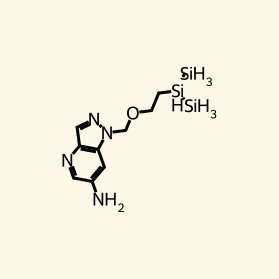 Nc1cnc2cnn(COCC[SiH]([SiH3])[SiH3])c2c1